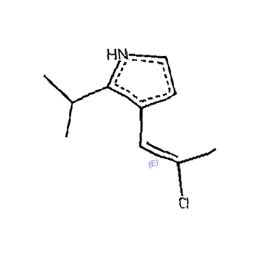 C/C(Cl)=C\c1cc[nH]c1C(C)C